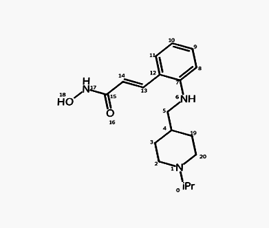 CC(C)N1CCC(CNc2ccccc2/C=C/C(=O)NO)CC1